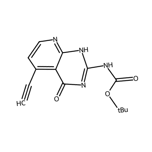 C#Cc1ccnc2[nH]c(NC(=O)OC(C)(C)C)nc(=O)c12